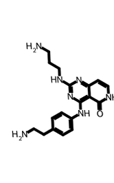 NCCCNc1nc(Nc2ccc(CCN)cc2)c2c(=O)[nH]ccc2n1